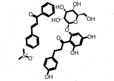 C[S+](C)[O-].O=C(C=Cc1ccccc1)c1ccccc1.O=C(CCc1ccc(O)cc1)c1c(O)cc(O)cc1O[C@@H]1O[C@H](CO)[C@@H](O)[C@H](O)[C@H]1O